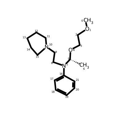 COCCO[C@H](C)N(CCN1CCCCC1)c1ccccc1